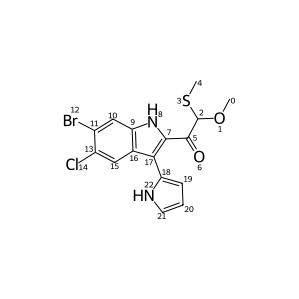 COC(SC)C(=O)c1[nH]c2cc(Br)c(Cl)cc2c1-c1ccc[nH]1